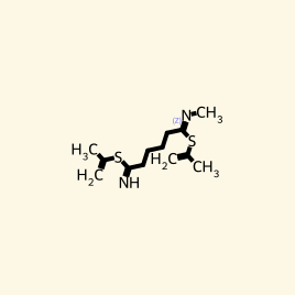 C=C(C)SC(=N)CCCC/C(=N/C)SC(=C)C